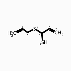 C=CCSC(S)C=C